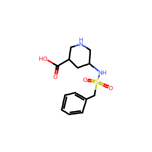 O=C(O)C1CNCC(NS(=O)(=O)Cc2ccccc2)C1